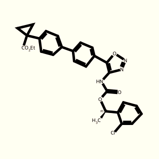 CCOC(=O)C1(c2ccc(-c3ccc(-c4onnc4NC(=O)O[C@H](C)c4ccccc4Cl)cc3)cc2)CC1